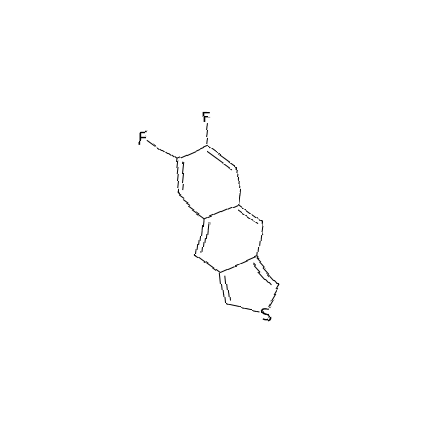 Fc1cc2cc3cscc3cc2cc1F